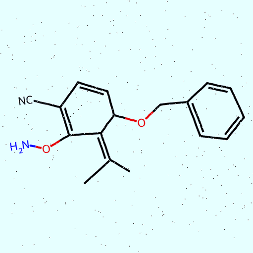 CC(C)=C1C(ON)=C(C#N)C=CC1OCc1ccccc1